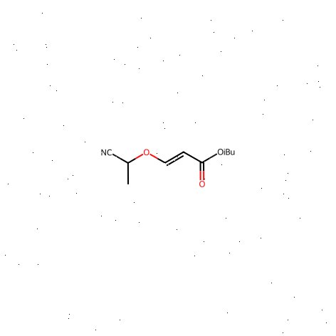 CC(C)COC(=O)C=COC(C)C#N